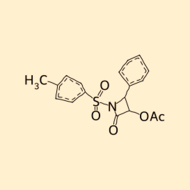 CC(=O)OC1C(=O)N(S(=O)(=O)c2ccc(C)cc2)C1c1ccccc1